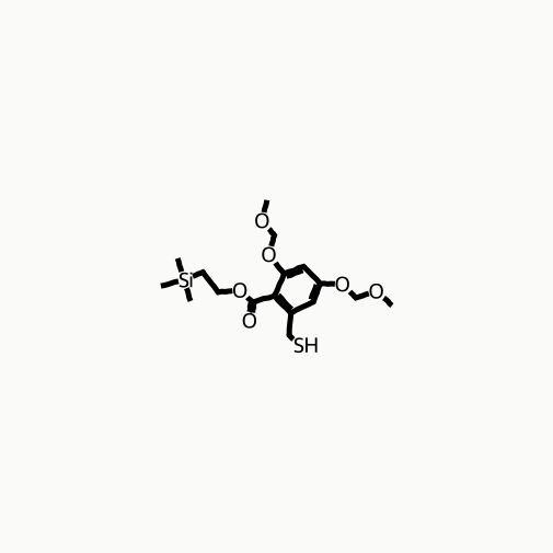 COCOc1cc(CS)c(C(=O)OCC[Si](C)(C)C)c(OCOC)c1